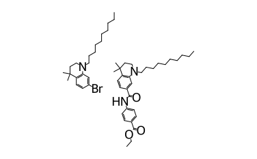 CCCCCCCCCCN1CCC(C)(C)c2ccc(Br)cc21.CCCCCCCCCCN1CCC(C)(C)c2ccc(C(=O)Nc3ccc(C(=O)OCC)cc3)cc21